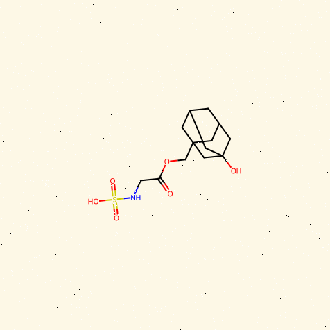 O=C(CNS(=O)(=O)O)OCC12CC3CC(CC(O)(C3)C1)C2